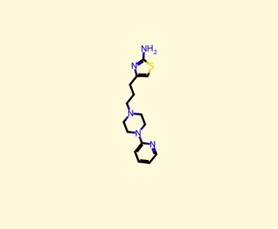 Nc1nc(CCCN2CCN(c3ccccn3)CC2)cs1